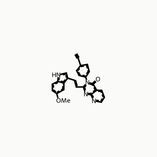 C#Cc1ccc(-n2c(C=Cc3c[nH]c4ccc(OC)cc34)nc3ncccc3c2=O)cc1